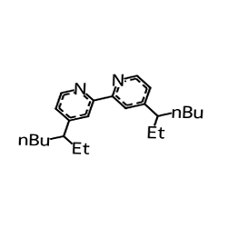 CCCCC(CC)c1ccnc(-c2cc(C(CC)CCCC)ccn2)c1